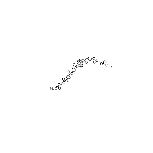 C=CC(=O)OCCOC(=O)Oc1ccc(CC(=O)OC2CO[C@H]3[C@H](OC(=O)c4ccc(OC(=O)c5ccc(OC(=O)OCCOC(=O)C=C)cc5)cc4)CO[C@@H]23)cc1